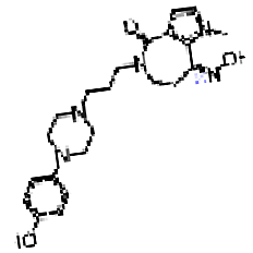 Cn1ccc2c1/C(=N\O)CCN(CCCN1CCN(c3ccc(O)cc3)CC1)C2=O